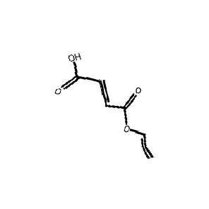 C=COC(=O)/C=C/C(=O)O